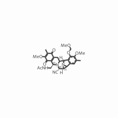 COCOc1c(OC)c(C)cc2c1[C@@H]1C3CC4=C(C(=O)C(OC)=C(C)C4=O)[C@H](CNC(C)=O)N3[C@@H](C#N)[C@@H]3C2N13